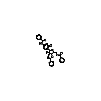 O=C(Nc1ccn(C2OC(COC(=O)c3ccccc3)C(OC(=O)c3ccccc3)C2(F)F)c(=O)n1)c1ccccc1